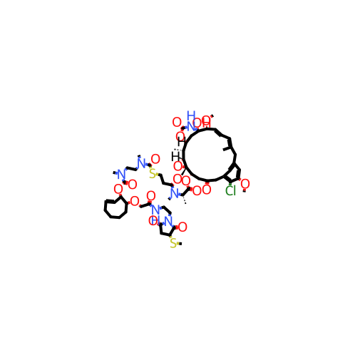 COc1cc2cc(c1Cl)CC(=O)C[C@H](OC(=O)[C@H](C)N(C)C(=O)CCSC(=O)N(C)CCN(C)C(=O)OC1/C=C/CCCCC1OCC(=O)NCCN1C(=O)CC(SC)C1=O)[C@]1(C)O[C@H]1[C@H](C)[C@@H]1C[C@@](O)(NC(=O)O1)[C@H](OC)/C=C/C=C(\C)C2